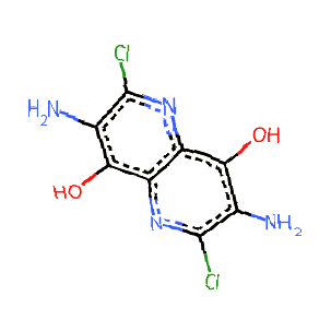 Nc1c(Cl)nc2c(O)c(N)c(Cl)nc2c1O